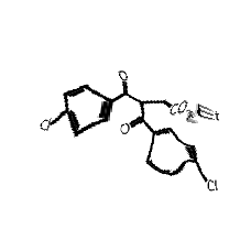 CCOC(=O)CC(C(=O)c1ccc(Cl)cc1)C(=O)c1ccc(Cl)cc1